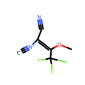 [C-]#[N+]/C(C#N)=C(/OC)C(F)(F)F